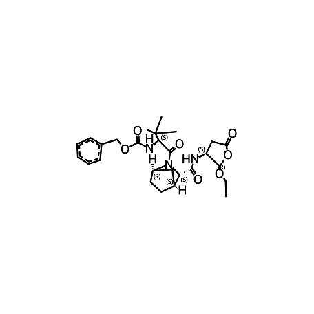 CCO[C@@H]1OC(=O)C[C@@H]1NC(=O)[C@@H]1[C@H]2CC[C@H](C2)N1C(=O)[C@@H](NC(=O)OCc1ccccc1)C(C)(C)C